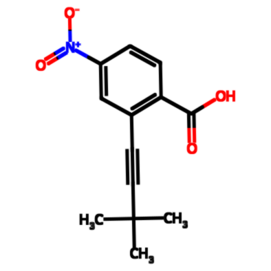 CC(C)(C)C#Cc1cc([N+](=O)[O-])ccc1C(=O)O